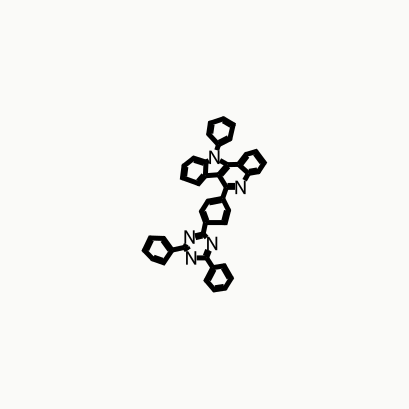 c1ccc(-c2nc(-c3ccccc3)nc(-c3ccc(-c4nc5ccccc5c5c4c4ccccc4n5-c4ccccc4)cc3)n2)cc1